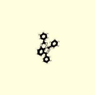 O=C(Oc1cccc(C(=O)c2ccccc2)c1OC(=O)c1ccccc1)c1ccccc1